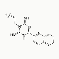 C=CCn1c(=N)nc(-c2ccc3ccccc3n2)[nH]c1=N